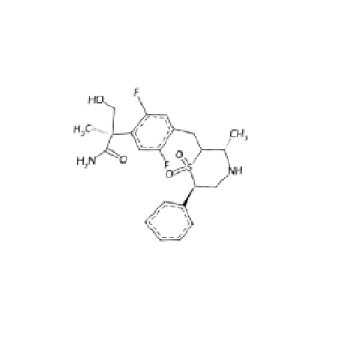 C[C@@H]1NC[C@@H](c2ccccc2)S(=O)(=O)C1Cc1cc(F)c([C@](C)(CO)C(N)=O)cc1F